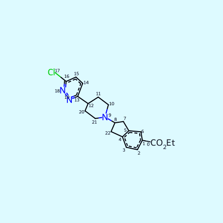 CCOC(=O)c1ccc2c(c1)CC(N1CCC(c3ccc(Cl)nn3)CC1)C2